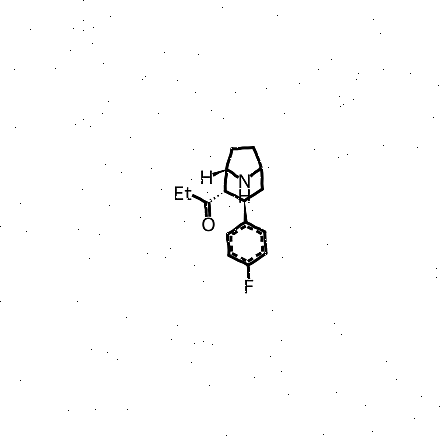 CCC(=O)[C@@H]1[C@@H]2CCC(C[C@H]1c1ccc(F)cc1)N2